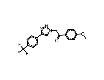 COc1ccc(C(=O)Cn2cc(-c3ccc(C(F)(F)F)cc3)nn2)cc1